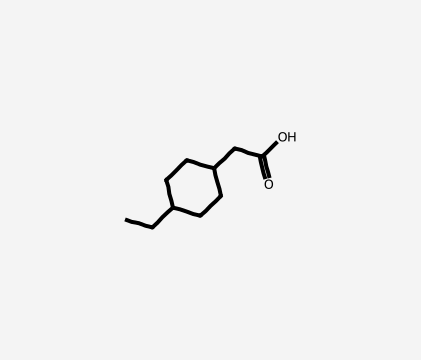 CCC1CCC(CC(=O)O)CC1